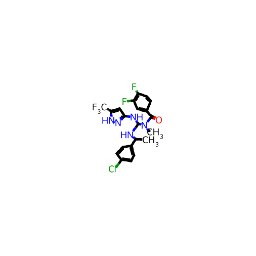 CC(NC(Nc1cc(C(F)(F)F)[nH]n1)N(C)C(=O)c1ccc(F)c(F)c1)c1ccc(Cl)cc1